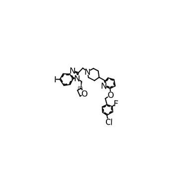 Fc1cc(Cl)ccc1COc1cccc(C2CCN(Cc3nc4cc(I)ccc4n3C[C@@H]3CCO3)CC2)n1